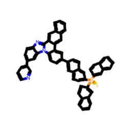 S=P(c1ccc2ccccc2c1)(c1ccc2ccccc2c1)c1ccc2cc(-c3ccc4c(c3)c3cc5ccccc5cc3c3nc5ccc(-c6cccnc6)cc5n43)ccc2c1